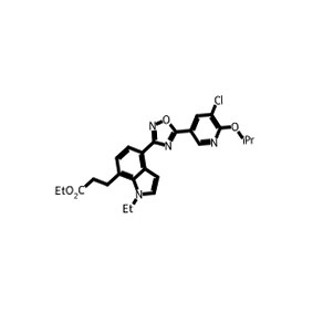 CCOC(=O)CCc1ccc(-c2noc(-c3cnc(OC(C)C)c(Cl)c3)n2)c2ccn(CC)c12